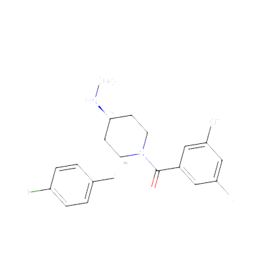 O=CN[C@H]1CCN(C(=O)c2cc(C(F)(F)F)cc(C(F)(F)F)c2)[C@H](Cc2ccc(Cl)cc2)C1